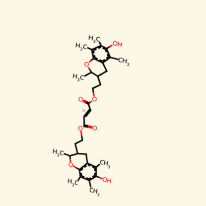 Cc1c(C)c2c(c(C)c1O)CC(CCOC(=O)/C=C/C(=O)OCCC1Cc3c(C)c(O)c(C)c(C)c3OC1C)C(C)O2